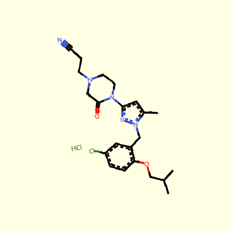 Cc1cc(N2CCN(CCC#N)CC2=O)nn1Cc1cc(Cl)ccc1OCC(C)C.Cl